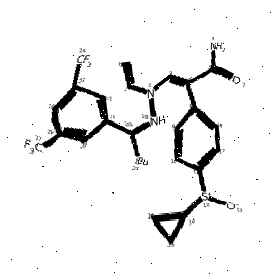 C=CN(/C=C(/C(N)=O)c1ccc([S+]([O-])C2CC2)cc1)NC(c1cc(C(F)(F)F)cc(C(F)(F)F)c1)C(C)CC